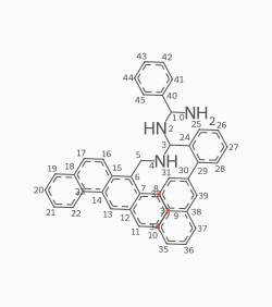 NC(NC(NCc1c2ccccc2cc2c1ccc1ccccc12)c1ccccc1-c1ccc2ccccc2c1)c1ccccc1